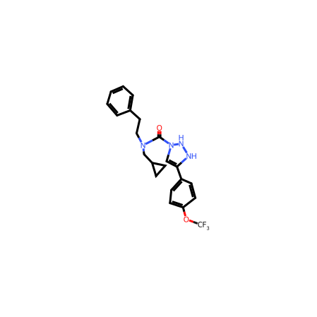 O=C(N(CCc1ccccc1)CC1CC1)N1C=C(c2ccc(OC(F)(F)F)cc2)NN1